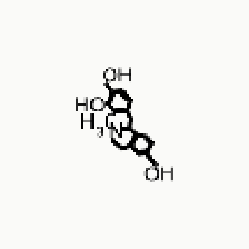 CN1CCc2cc(CO)ccc2C1Cc1ccc(CO)c(O)c1